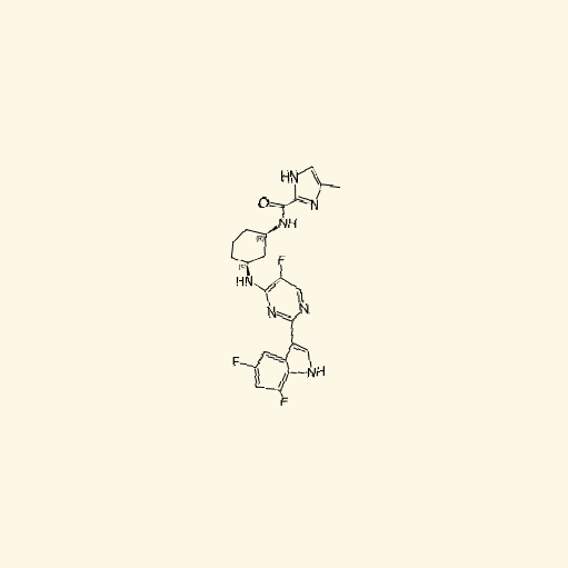 Cc1c[nH]c(C(=O)N[C@@H]2CCC[C@H](Nc3nc(-c4c[nH]c5c(F)cc(F)cc45)ncc3F)C2)n1